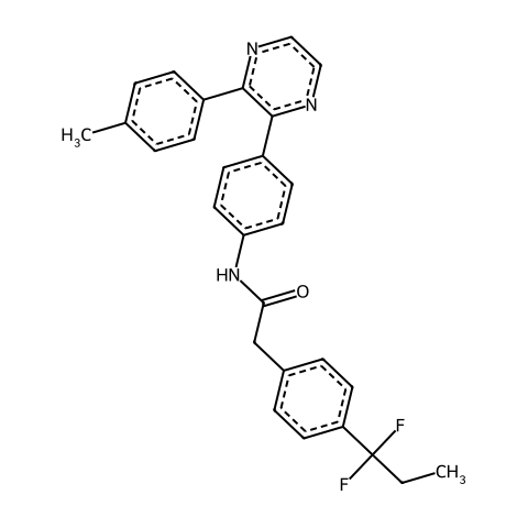 CCC(F)(F)c1ccc(CC(=O)Nc2ccc(-c3nccnc3-c3ccc(C)cc3)cc2)cc1